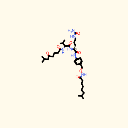 CC(C)CCCCCC(=O)NOCc1ccc(NC(=O)[C@H](CCCNC(N)=O)NC(=O)[C@@H](NC(=O)CCCC(=O)CC(C)C)C(C)C)cc1